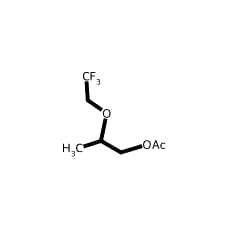 CC(=O)OCC(C)OCC(F)(F)F